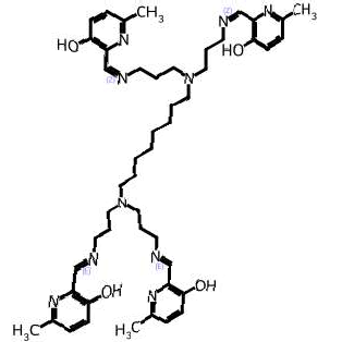 Cc1ccc(O)c(/C=N\CCCN(CCCCCCCCN(CCC/N=C/c2nc(C)ccc2O)CCC/N=C/c2nc(C)ccc2O)CCC/N=C\c2nc(C)ccc2O)n1